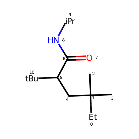 CCC(C)(C)CC(C(=O)NC(C)C)C(C)(C)C